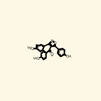 O=C(c1ccc(O)cc1)c1c(-c2ccc(O)cc2)noc1-c1ccc(O)cc1